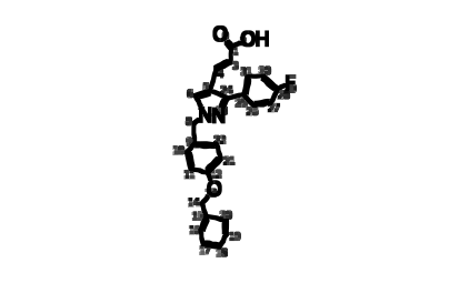 O=C(O)C=Cc1cn(Cc2ccc(OCc3ccccc3)cc2)nc1-c1ccc(F)cc1